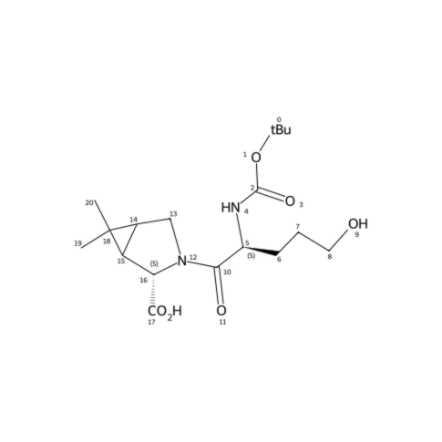 CC(C)(C)OC(=O)N[C@@H](CCCO)C(=O)N1CC2C([C@H]1C(=O)O)C2(C)C